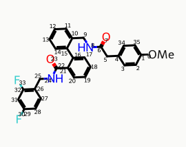 COc1ccc(CC(=O)NCc2ccccc2-c2ccccc2C(=O)NCc2ccc(F)cc2F)cc1